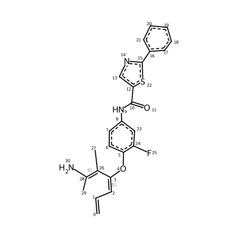 C=C/C=C(Oc1ccc(NC(=O)c2cnc(-c3ccccc3)s2)cc1F)\C(C)=C(/C)N